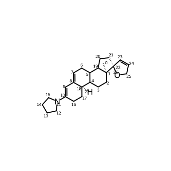 C[C@]12CCC3C(CC=C4C=C(N5CCCC5)CC[C@@H]43)C1CC[C@@]21C=CCO1